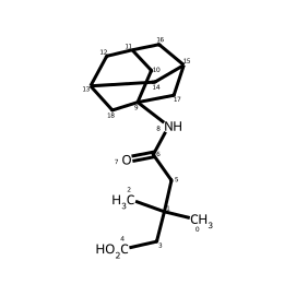 CC(C)(CC(=O)O)CC(=O)NC12CC3CC(CC(C3)C1)C2